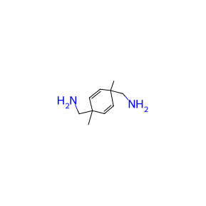 CC1(CN)C=CC(C)(CN)C=C1